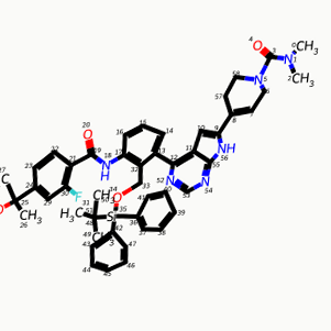 CN(C)C(=O)N1CC=C(c2cc3c(-c4cccc(NC(=O)c5ccc(C(C)(C)O)cc5F)c4CO[Si](c4ccccc4)(c4ccccc4)C(C)(C)C)ncnc3[nH]2)CC1